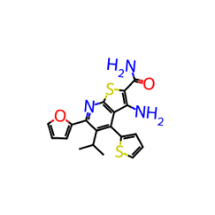 CC(C)c1c(-c2ccco2)nc2sc(C(N)=O)c(N)c2c1-c1cccs1